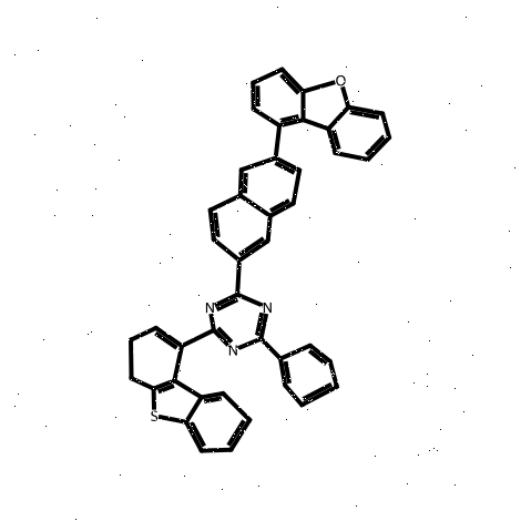 C1=C(c2nc(-c3ccccc3)nc(-c3ccc4cc(-c5cccc6oc7ccccc7c56)ccc4c3)n2)c2c(sc3ccccc23)CC1